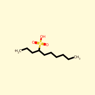 [CH2]CCC(CCCCCC)S(=O)(=O)O